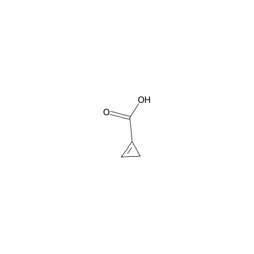 O=C(O)C1=CC1